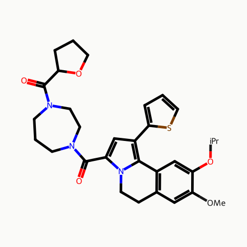 COc1cc2c(cc1OC(C)C)-c1c(-c3cccs3)cc(C(=O)N3CCCN(C(=O)C4CCCO4)CC3)n1CC2